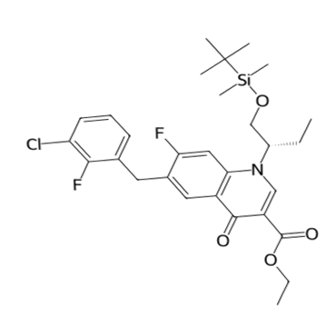 CCOC(=O)c1cn([C@@H](CC)CO[Si](C)(C)C(C)(C)C)c2cc(F)c(Cc3cccc(Cl)c3F)cc2c1=O